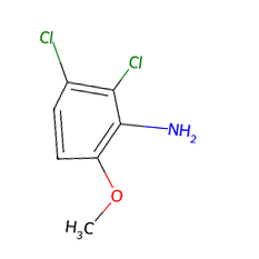 COc1ccc(Cl)c(Cl)c1N